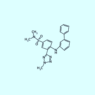 CN(C)S(=O)(=O)c1ccc(Nc2cccc(-c3ccccc3)c2)c(-c2nnn(C)n2)c1